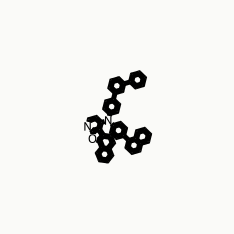 c1ccc(-c2cccc(-c3ccc(N(c4ccc(-c5cccc6ccccc56)cc4)c4ccnc5oc6c7ccccc7ccc6c45)cc3)c2)cc1